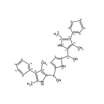 Cc1[nH]c(C(O)c2ccc(C(O)c3[nH]c(C)c(-c4ccccc4)c3C)[nH]2)c(C)c1-c1ccccc1